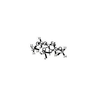 CC[Si](O[Si](C)(C)C)(O[Si](C)(C)O[Si](C)(C)C)O[Si](C)(C)O[Si](C)(C)C